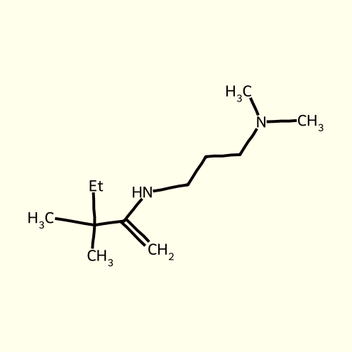 C=C(NCCCN(C)C)C(C)(C)CC